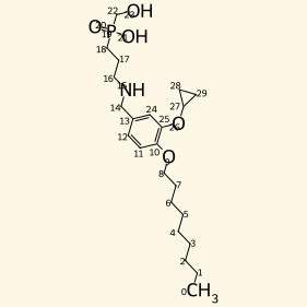 CCCCCCCCCOc1ccc(CNCCCP(=O)(O)CO)cc1OC1CC1